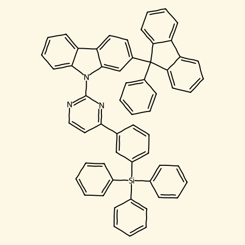 c1ccc(C2(c3ccc4c5ccccc5n(-c5nccc(-c6cccc([Si](c7ccccc7)(c7ccccc7)c7ccccc7)c6)n5)c4c3)c3ccccc3-c3ccccc32)cc1